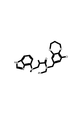 CC(C)CN(Cc1cc(Cl)c2c(c1)OCCCO2)C(=O)C(C)CN(C)c1cccc2[nH]cnc12